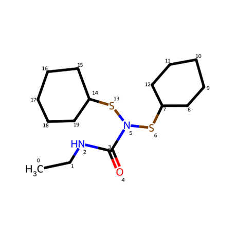 CCNC(=O)N(SC1CCCCC1)SC1CCCCC1